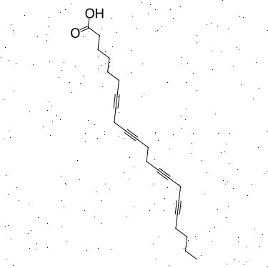 CCCCC#CCC#CCCC#CCC#CCCCCCC(=O)O